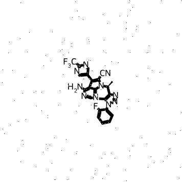 Cc1c([C@H](C)n2c(C#N)c(-c3cnc(C(F)(F)F)nc3)c3c(N)ncnc32)nnn1-c1ccccc1F